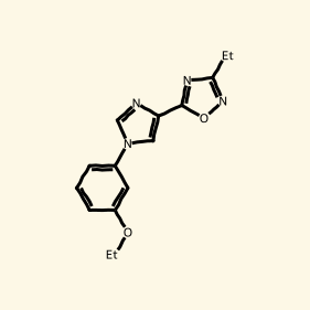 CCOc1cccc(-n2cnc(-c3nc(CC)no3)c2)c1